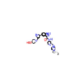 CN1CCN(Cc2cc(NC(=O)c3n[nH]c4ccc(-c5cncc(CN6CCC(O)CC6)c5)cc34)ccn2)CC1